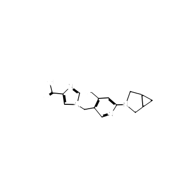 O=C(O)c1cn(Cc2cnc(N3CC4CC4C3)cc2Cl)cn1